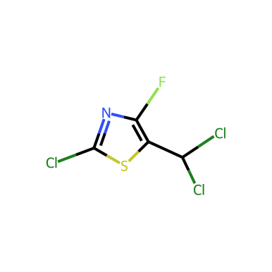 Fc1nc(Cl)sc1C(Cl)Cl